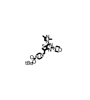 Cc1cn(-c2nc(N3CCOCC3)nc3c(CN4CCN(C(=O)OC(C)(C)C)CC4)csc23)c(C)n1